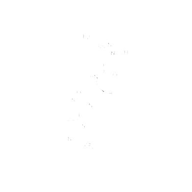 C[C@H](NC(=O)c1cc(C(F)(F)F)nn1C)c1nc(-c2ccnc(C(F)(F)F)n2)no1